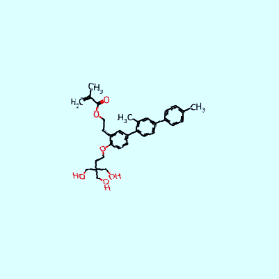 C=C(C)C(=O)OCCc1cc(-c2ccc(-c3ccc(C)cc3)cc2C)ccc1OCCC(CO)(CO)CO